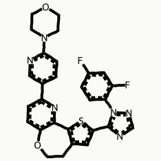 Fc1ccc(-n2ncnc2-c2cc3c(s2)-c2nc(-c4ccc(N5CCOCC5)nc4)ccc2OCC3)c(F)c1